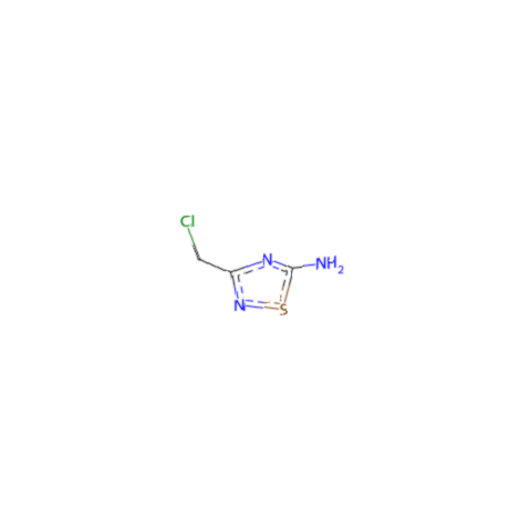 Nc1nc(CCl)ns1